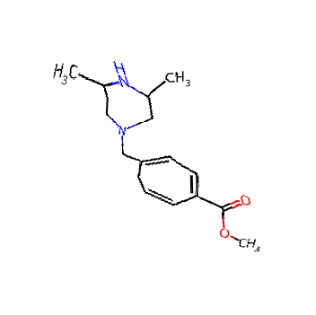 COC(=O)c1ccc(CN2CC(C)NC(C)C2)cc1